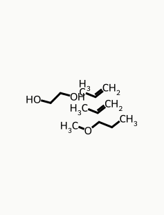 C=CC.C=CC.CCCOC.OCCO